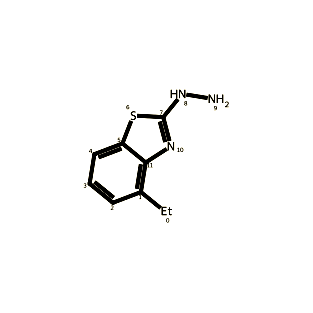 CCc1cccc2sc(NN)nc12